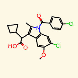 COc1cc2c(C(C(=O)O)C3CCC3)c(C)n(C(=O)c3ccc(Cl)cc3)c2cc1Cl